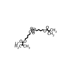 C=C(C)C(=O)OCCCCOP(=O)([O-])OCCCCOC(=O)C(=C)C.[Li+]